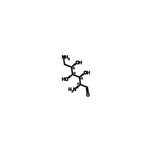 NC[C@@H](O)[C@H](O)[C@@H](O)[C@H](N)C=O